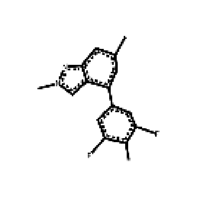 Cc1cc(-c2cc(F)c(C)c(F)c2)c2cn(C)nc2c1